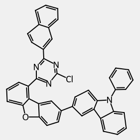 Clc1nc(-c2ccc3ccccc3c2)nc(-c2cccc3oc4ccc(-c5ccc6c(c5)c5ccccc5n6-c5ccccc5)cc4c23)n1